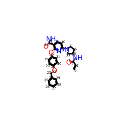 C=CC(=O)N[C@H]1CCN(c2ccc(C(N)=O)c(Oc3ccc(OCc4ccccc4)cc3)n2)C1